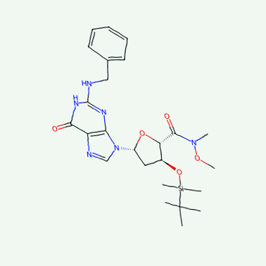 CON(C)C(=O)[C@H]1O[C@@H](n2cnc3c(=O)[nH]c(NCc4ccccc4)nc32)C[C@@H]1O[Si](C)(C)C(C)(C)C